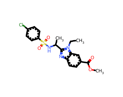 CCn1c(C(C)NS(=O)(=O)c2ccc(Cl)cc2)nc2ccc(C(=O)OC)cc21